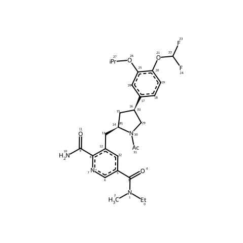 CCN(C)C(=O)c1cnc(C(N)=O)c(C[C@H]2C[C@@H](c3ccc(OC(F)F)c(OC(C)C)c3)CN2C(C)=O)c1